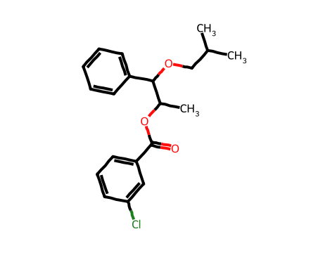 CC(C)COC(c1ccccc1)C(C)OC(=O)c1cccc(Cl)c1